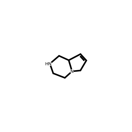 C1=CC2CNCCN2C1